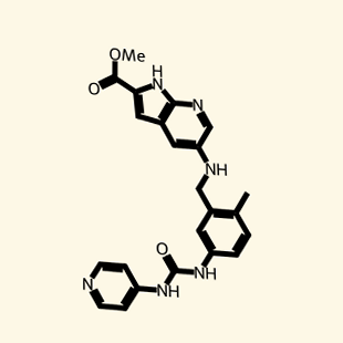 COC(=O)c1cc2cc(NCc3cc(NC(=O)Nc4ccncc4)ccc3C)cnc2[nH]1